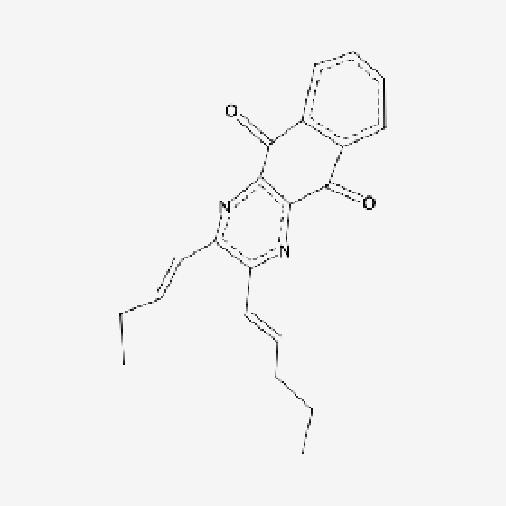 CC/C=C/c1nc2c(nc1/C=C/CCC)C(=O)c1ccccc1C2=O